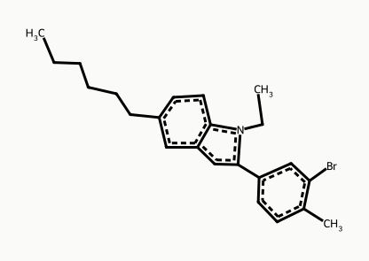 CCCCCCc1ccc2c(c1)cc(-c1ccc(C)c(Br)c1)n2CC